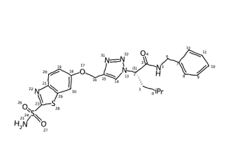 CC(C)C[C@@H](C(=O)NCc1ccccc1)n1cc(COc2ccc3nc(S(N)(=O)=O)sc3c2)nn1